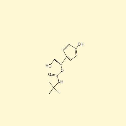 CC(C)(C)NC(=O)O[C@@H](CO)c1ccc(O)cc1